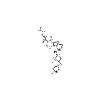 Cc1ccc(Oc2ccc(Nc3ncnc4sc5c(c34)C[C@@H](C)N(C(=O)/C=C/CN(C)C)[C@H]5C)cc2C)cn1